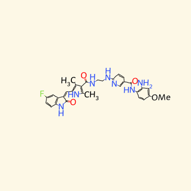 COc1ccc(NC(=O)c2ccc(NCCNC(=O)c3c(C)[nH]c(C=C4C(=O)Nc5ccc(F)cc54)c3C)nc2)c(N)c1